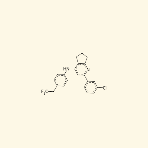 FC(F)(F)Cc1ccc(Nc2cc(-c3cccc(Cl)c3)nc3c2CCC3)cc1